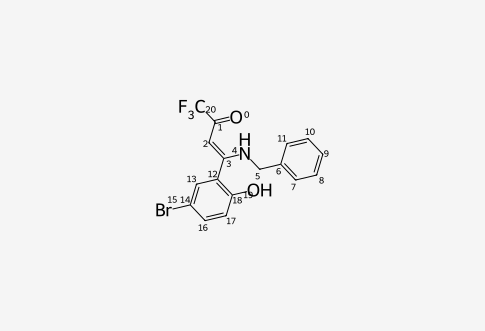 O=C(/C=C(\NCc1ccccc1)c1cc(Br)ccc1O)C(F)(F)F